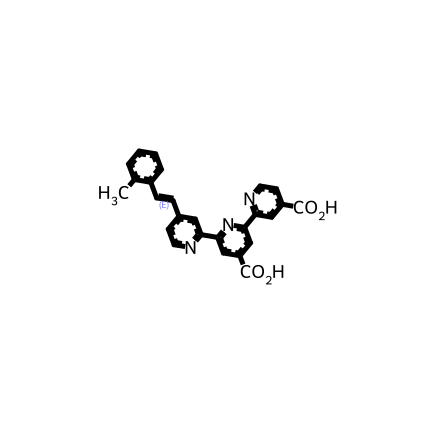 Cc1ccccc1/C=C/c1ccnc(-c2cc(C(=O)O)cc(-c3cc(C(=O)O)ccn3)n2)c1